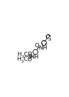 CC(C)S(=O)(=O)NC1CCC(C(=O)Nc2ccc(-c3cccs3)cc2)CC1